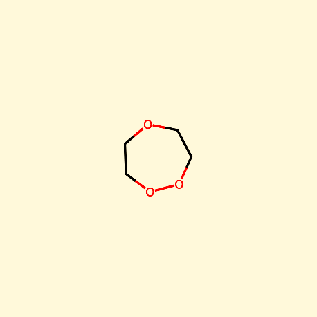 C1COOCCO1